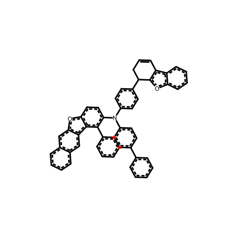 C1=Cc2c(oc3ccccc23)C(c2ccc(N(c3ccc(-c4ccccc4)cc3)c3ccc4oc5cc6ccccc6cc5c4c3-c3ccccc3)cc2)C1